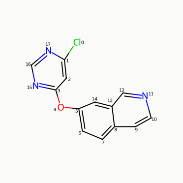 Clc1cc(Oc2ccc3ccncc3c2)ncn1